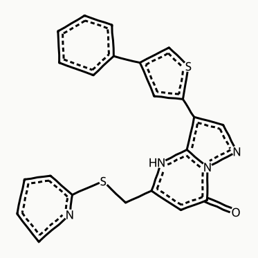 O=c1cc(CSc2ccccn2)[nH]c2c(-c3cc(-c4ccccc4)cs3)cnn12